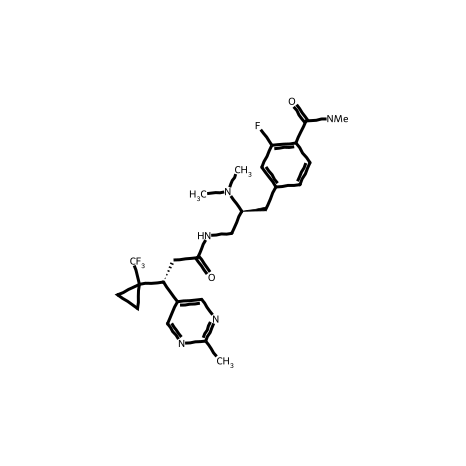 CNC(=O)c1ccc(C[C@@H](CNC(=O)C[C@H](c2cnc(C)nc2)C2(C(F)(F)F)CC2)N(C)C)cc1F